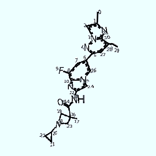 Cc1cn2nc(-c3cc(F)c4nc(NC(=O)C5(C)CN(C6CC6)C5)cn4c3)cc(C)c2n1